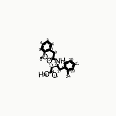 COc1ccccc1CC(=O)N[C@H](CC(=O)O)Cc1ccccc1C